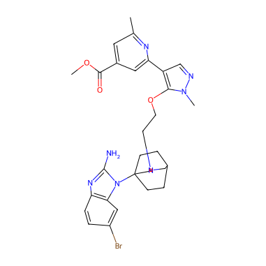 COC(=O)c1cc(C)nc(-c2cnn(C)c2OCCN2CC3CCC(n4c(N)nc5ccc(Br)cc54)(CC3)C2)c1